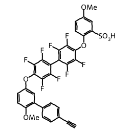 C#Cc1ccc(-c2cc(Oc3c(F)c(F)c(-c4c(F)c(F)c(Oc5ccc(OC)cc5S(=O)(=O)O)c(F)c4F)c(F)c3F)ccc2OC)cc1